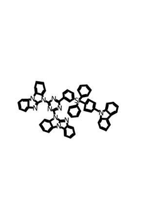 c1ccc([Si](c2ccccc2)(c2ccc(-n3c4ccccc4c4ccccc43)cc2)c2cccc(-c3nc(-n4c5ccccc5n5c6ccccc6nc45)nc(-n4c5ccccc5n5c6ccccc6nc45)n3)c2)cc1